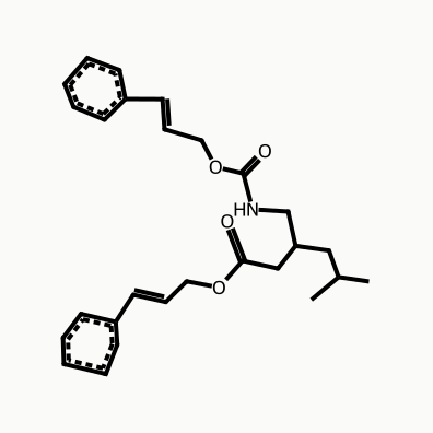 CC(C)CC(CNC(=O)OCC=Cc1ccccc1)CC(=O)OCC=Cc1ccccc1